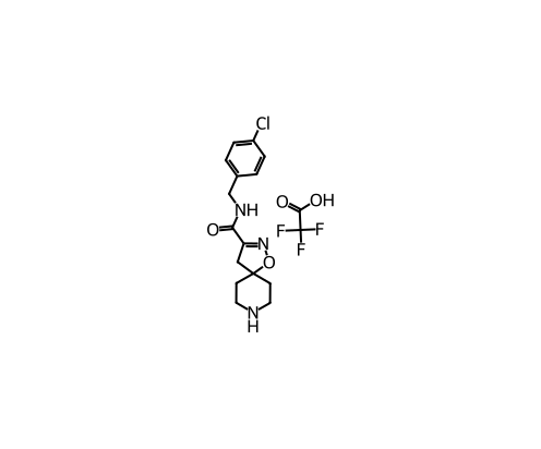 O=C(NCc1ccc(Cl)cc1)C1=NOC2(CCNCC2)C1.O=C(O)C(F)(F)F